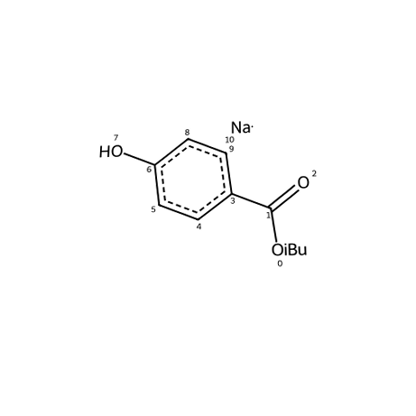 CC(C)COC(=O)c1ccc(O)cc1.[Na]